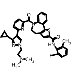 Cc1cccc(F)c1NC(=O)c1cc2c(s1)-c1ccccc1N(C(=O)c1cccc(-c3cn(CCN(C)C)nc3C3CC3)n1)CC2